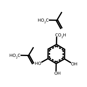 C=C(C)C(=O)O.C=C(C)C(=O)O.O=C(O)c1cc(O)c(O)c(O)c1